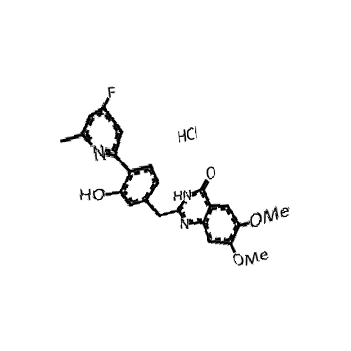 COc1cc2nc(Cc3ccc(-c4cc(F)cc(C)n4)c(O)c3)[nH]c(=O)c2cc1OC.Cl